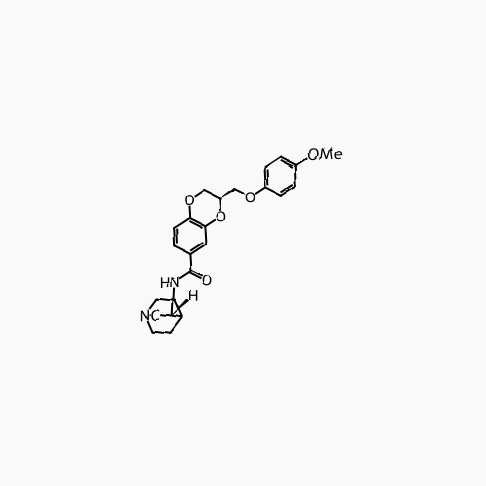 COc1ccc(OC[C@@H]2COc3ccc(C(=O)N[C@H]4CN5CCC4CC5)cc3O2)cc1